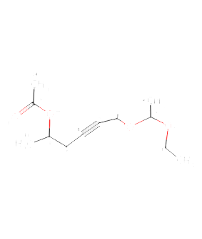 CCOC(C)OCC#CCC(C)OC(C)=O